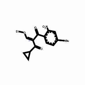 CCO/C=C(\C(=O)c1ccc(C(C)(C)C)cc1[N+](=O)[O-])C(=O)C1CC1